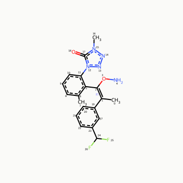 C/C(=C(\ON)c1c(C)cccc1-n1nnn(C)c1=O)c1cccc(C(F)F)c1